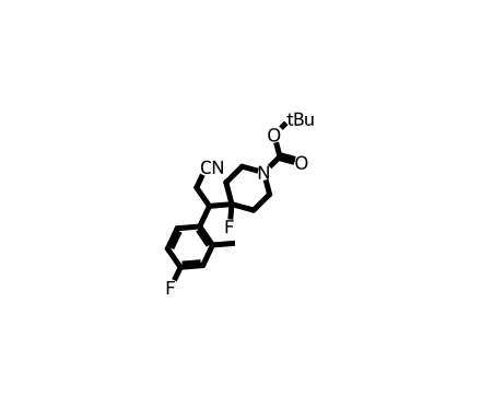 Cc1cc(F)ccc1C(CC#N)C1(F)CCN(C(=O)OC(C)(C)C)CC1